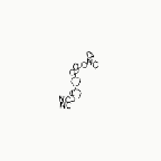 N#CC(C#N)=CC1CCCCC(C2CCCC(C(=O)CC(=O)c3ccc(N(c4ccccc4)c4ccccc4)cc3)CCC2)CCC1